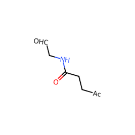 CC(=O)CCC(=O)NCC=O